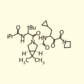 CC(C)C(=O)NC(C(=O)N1C[C@H]2[C@@H]([C@H]1C(=O)NC(CC1CC1)C(=O)C(=O)N1CCC1)C2(C)C)C(C)(C)C